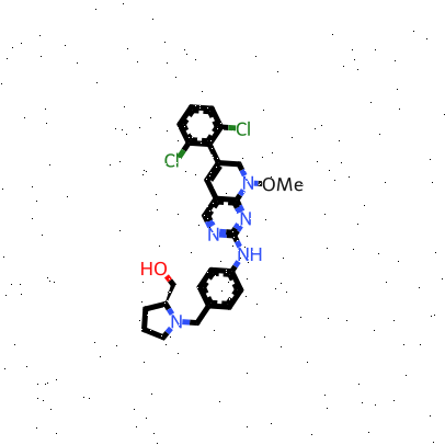 CON1CC(c2c(Cl)cccc2Cl)=Cc2cnc(Nc3ccc(CN4CCC[C@H]4CO)cc3)nc21